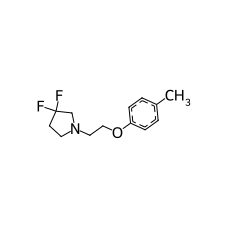 Cc1ccc(OCCN2CCC(F)(F)C2)cc1